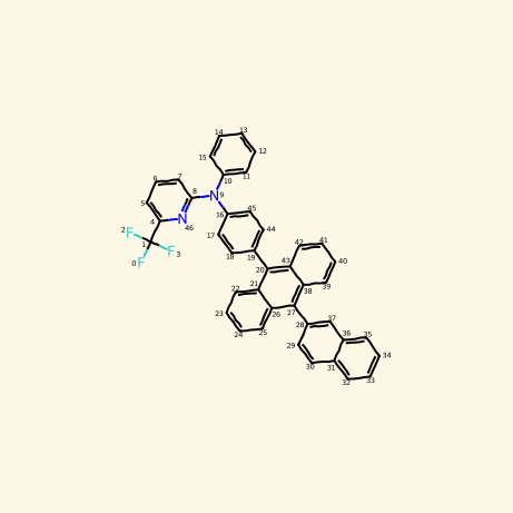 FC(F)(F)c1cccc(N(c2ccccc2)c2ccc(-c3c4ccccc4c(-c4ccc5ccccc5c4)c4ccccc34)cc2)n1